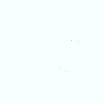 CCC/C=C/c1ccc(C(=C2CC2)N(C)c2ccc(N(C)CC)c(/C(=C\C=O)N3CCCCC3)c2)cc1